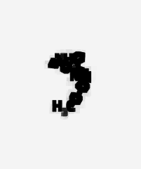 Cc1ccc(-c2ccc3nn4cc(-c5ccccc5)c(-c5ccc(C6(N)CCC6)cc5)nc4c3c2)cc1